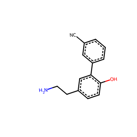 N#Cc1cccc(-c2cc(CCN)ccc2O)c1